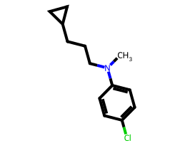 CN(CCCC1CC1)c1ccc(Cl)cc1